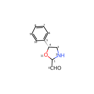 O=CC1NC[C@@H](c2ccccc2)O1